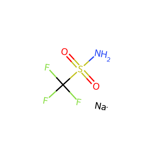 NS(=O)(=O)C(F)(F)F.[Na]